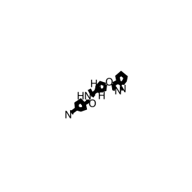 CC(C)(NC(=O)c1ccc(C#N)cc1)C1[C@H]2CC(Oc3cnnc4ccccc34)C[C@@H]12